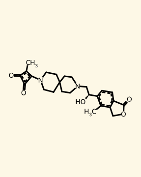 Cc1c([C@@H](O)CN2CCC3(CC2)CCN(c2c(C)c(=O)c2=O)CC3)ccc2c1COC2=O